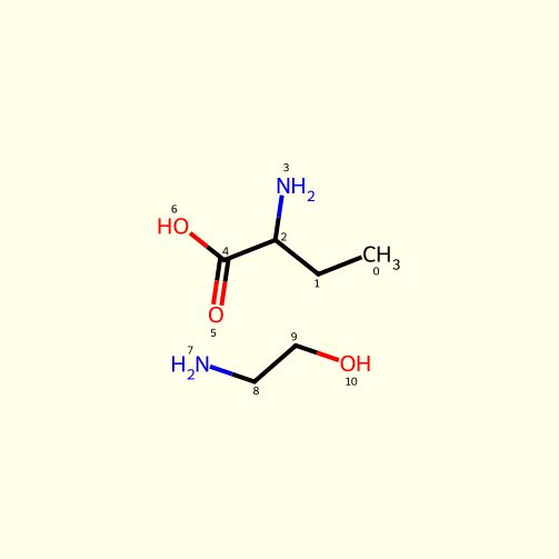 CCC(N)C(=O)O.NCCO